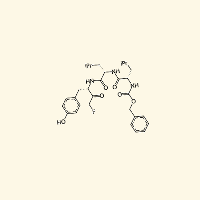 CC(C)C[C@H](NC(=O)OCc1ccccc1)C(=O)N[C@@H](CC(C)C)C(=O)N[C@@H](Cc1ccc(O)cc1)C(=O)CF